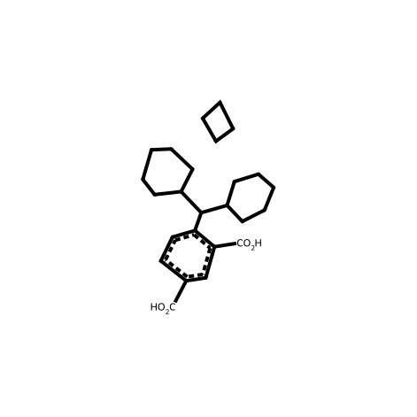 C1CCC1.O=C(O)c1ccc(C(C2CCCCC2)C2CCCCC2)c(C(=O)O)c1